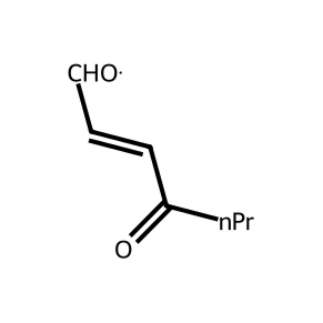 CCCC(=O)C=C[C]=O